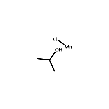 CC(C)O.[Cl][Mn]